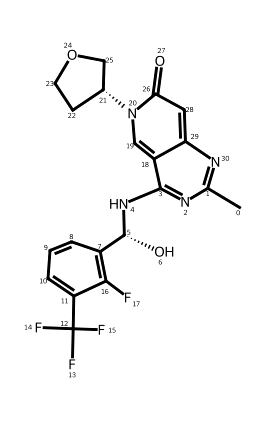 Cc1nc(N[C@H](O)c2cccc(C(F)(F)F)c2F)c2cn([C@@H]3CCOC3)c(=O)cc2n1